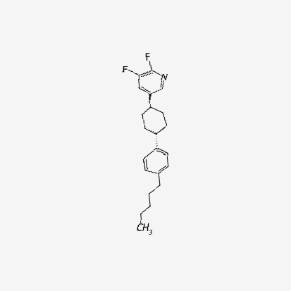 CCCCCc1ccc([C@H]2CC[C@H](c3cnc(F)c(F)c3)CC2)cc1